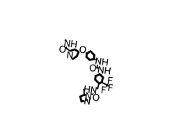 CNC(=O)c1cc(Oc2ccc(NC(=O)Nc3ccc(CNC(=O)n4nccc4C)c(C(F)(F)F)c3)cc2)ccn1